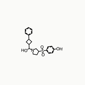 O=S(=O)(c1ccc(O)cc1)C1CCN(C(O)C2CC(c3ccccc3)C2)C1